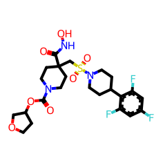 O=C(OC1CCOC1)N1CCC(CS(=O)(=O)N2CCC(c3c(F)cc(F)cc3F)CC2)(C(=O)NO)CC1